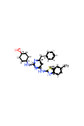 CC(C)c1ccc2nc(Nc3cc(Cc4ccccc4)nc(NC4CCC(O)CC4)n3)sc2c1